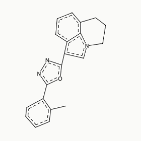 Cc1ccccc1-c1nnc(-c2cn3c4c(cccc24)CCC3)o1